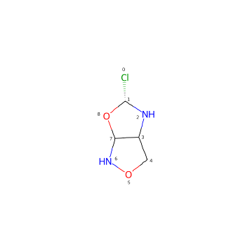 Cl[C@@H]1NC2CONC2O1